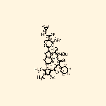 CCC[C@H](NC(=O)[C@@H]1CC2CCCCC2N1C(=O)[C@@H](NC(=O)[C@@H](OC(=O)c1[nH]c(C)c(C)c1C(C)=O)C1CCCCC1)C(C)(C)C)C(=O)C(=O)NC1CC1